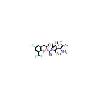 CC/C(C)=C(\N)c1ccn(C(CC)OC(C)Cc2cc(F)cc(C(F)F)c2F)c1C(C)CC